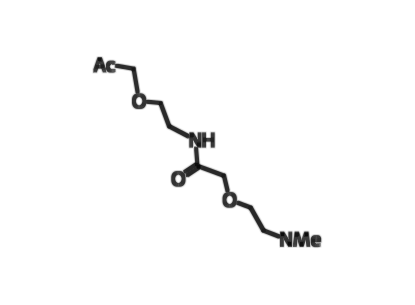 CNCCOCC(=O)NCCOCC(C)=O